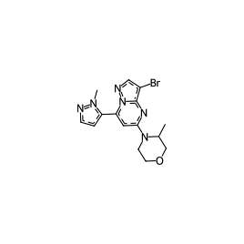 CC1COCCN1c1cc(-c2ccnn2C)n2ncc(Br)c2n1